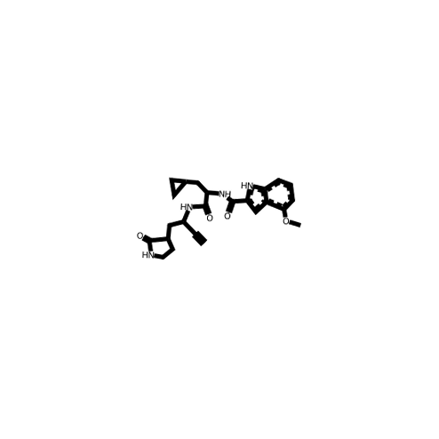 C#CC(CC1CCNC1=O)NC(=O)C(CC1CC1)NC(=O)c1cc2c(OC)cccc2[nH]1